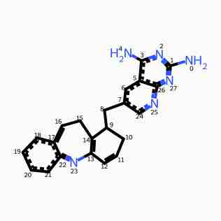 Nc1nc(N)c2cc(CC3CC=CC4=C3CC=c3ccccc3=N4)cnc2n1